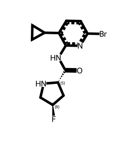 O=C(Nc1nc(Br)ccc1C1CC1)[C@@H]1C[C@@H](F)CN1